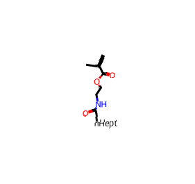 C=C(C)C(=O)OCCNC(=O)CCCCCCC